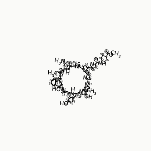 COC(=O)C1CCC(NC(=O)c2csc(-c3ccc4c(n3)-c3csc(n3)-c3csc(n3)[C@@H]3[C@@H](C)[C@@H](O)CN3C(=O)[C@H](Cc3ccc(O)cc3)NC(=O)c3csc(n3)[C@H]([C@H](O)c3ccccc3)NC(=O)c3nc(sc3C)[C@H](CC(N)=O)NC(=O)c3csc-4n3)n2)CC1